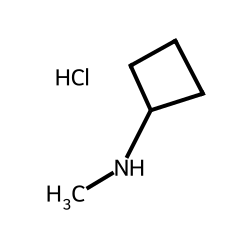 CNC1CCC1.Cl